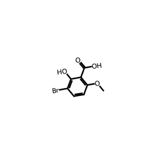 COc1ccc(Br)c(O)c1C(=O)O